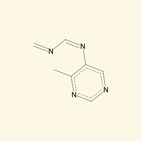 C=N/C=N\c1cncnc1C